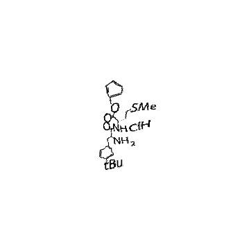 CSCC[C@H](NC(=O)[C@@H](N)Cc1ccc(C(C)(C)C)cc1)C(=O)OCc1ccccc1.Cl